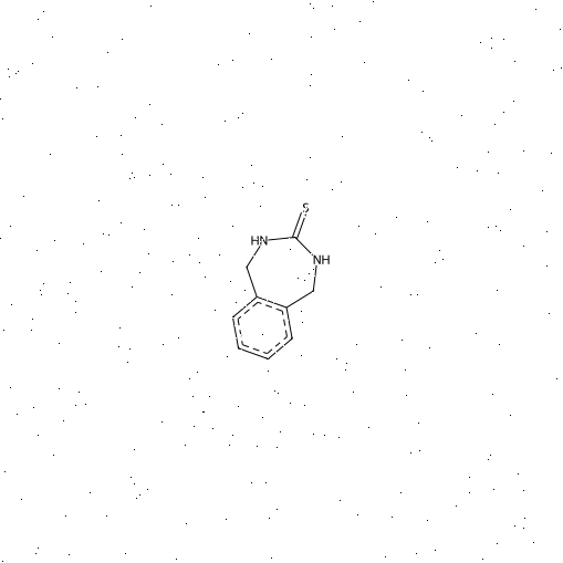 S=C1NCc2ccccc2CN1